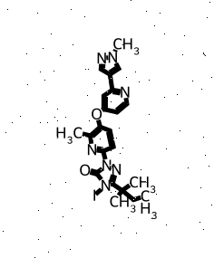 CCC(C)(C)c1nn(-c2ccc(Oc3ccnc(-c4cnn(C)c4)c3)c(C)n2)c(=O)n1I